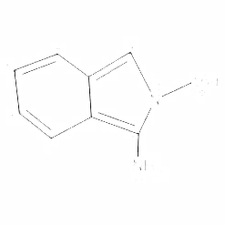 CC(C)(C)n1cc2ccccc2c1N